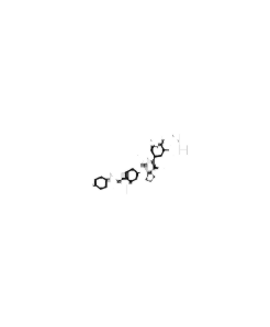 Cc1cc(N2C(=O)C3(CCC3)N(c3ccc(C(=O)Nc4ccc(F)cc4)c(F)c3)C2=S)cnc1C#N